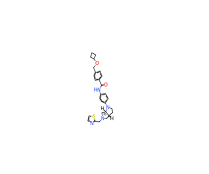 O=C(Nc1ccc(N2CC[C@@H]3CN(Cc4nccs4)C[C@@H]32)cc1)c1ccc(COC2CCC2)cc1